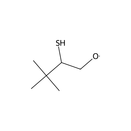 CC(C)(C)C(S)C[O]